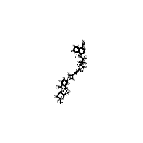 CC(C)(C(=O)Nc1ccc(C#N)c2ccccc12)n1cnc(C#CC2CN(c3ccc4c(c3)C(=O)N(C3CCC(=O)NC3=O)C4=O)C2)n1